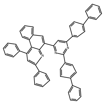 c1ccc(-c2ccc(-c3cc(-c4cc5ccccc5c5c(-c6ccccc6)cc(-c6ccccc6)nc45)nc(-c4ccc(-c5ccccc5)cc4)n3)cc2)cc1